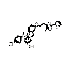 Cc1oc(-c2cccs2)nc1CCOc1cccc(CN(CC(=O)O)S(=O)(=O)N(C)c2ccc(Cl)cc2)c1